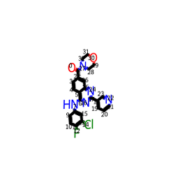 O=C(c1ccc2c(Nc3ccc(F)c(Cl)c3)nc(-c3cccnc3)nc2c1)N1CCOCC1